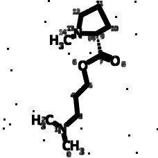 CN(C)CCCOC(=O)[C@H]1CCCN1C